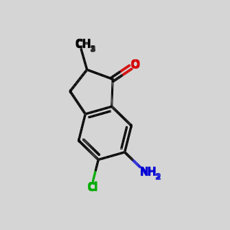 CC1Cc2cc(Cl)c(N)cc2C1=O